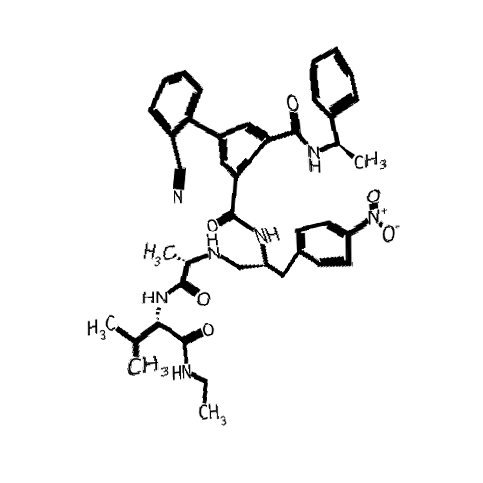 CCNC(=O)[C@@H](NC(=O)[C@H](C)NC[C@H](Cc1ccc([N+](=O)[O-])cc1)NC(=O)c1cc(C(=O)N[C@H](C)c2ccccc2)cc(-c2ccccc2C#N)c1)C(C)C